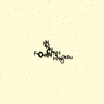 CC(C)(C)OC(=O)NCCNc1nc(Nc2ccc(F)cc2)cc(-n2cnnc2)n1